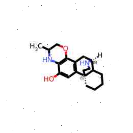 CC1COc2c3c(cc(O)c2N1)[C@]12CCCCC1[C@H](C3)NCC2